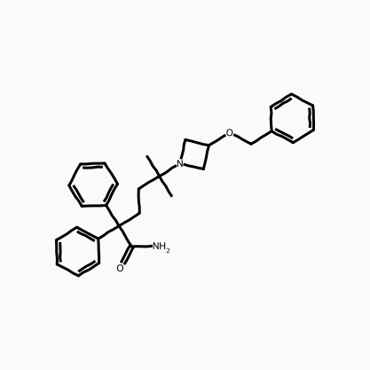 CC(C)(CCC(C(N)=O)(c1ccccc1)c1ccccc1)N1CC(OCc2ccccc2)C1